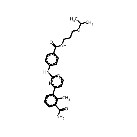 Cc1c(C(N)=O)cccc1-c1ccnc(Nc2ccc(C(=O)NCCCOC(C)C)cc2)n1